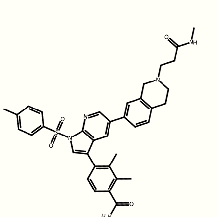 CNC(=O)CCN1CCc2ccc(-c3cnc4c(c3)c(-c3ccc(C(N)=O)c(C)c3C)cn4S(=O)(=O)c3ccc(C)cc3)cc2C1